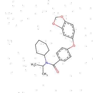 CC(C)N(C(=O)c1ccc(Oc2ccc3c(c2)OCO3)cc1)C1CCCCC1